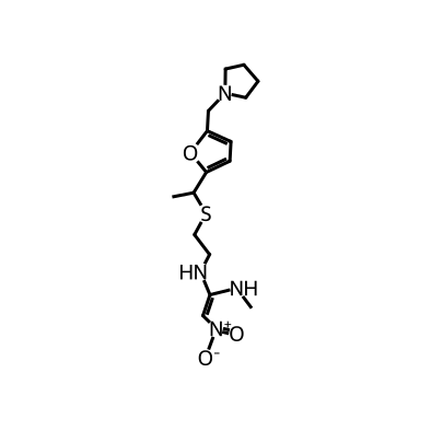 CNC(=C[N+](=O)[O-])NCCSC(C)c1ccc(CN2CCCC2)o1